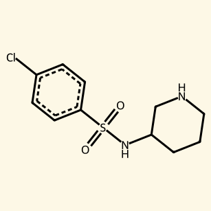 O=S(=O)(NC1CCCNC1)c1ccc(Cl)cc1